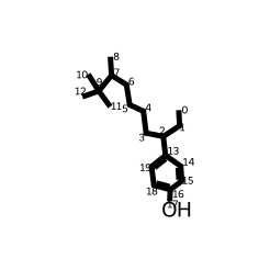 CCC(CCCCC(C)C(C)(C)C)c1ccc(O)cc1